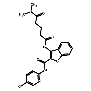 CN(C)C(=O)CCCC(=O)Nc1c(C(=O)Nc2ccc(Cl)cn2)oc2ccccc12